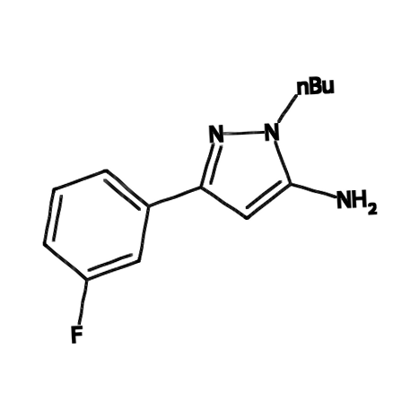 CCCCn1nc(-c2cccc(F)c2)cc1N